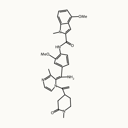 C=C(C1CCN(C)C(=O)C1)N1C=CN=C(C)/C1=C(/N)c1ccc(NC(=O)c2cc3c(OC)cccc3n2C)c(OC)c1